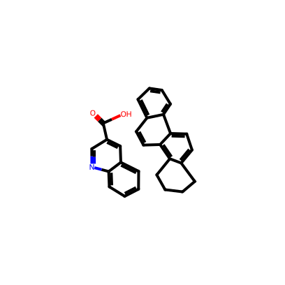 O=C(O)c1cnc2ccccc2c1.c1ccc2c(c1)ccc1c3c(ccc12)CCCC3